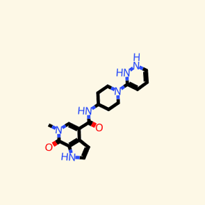 Cn1cc(C(=O)NC2CCN(C3=CC=CNN3)CC2)c2cc[nH]c2c1=O